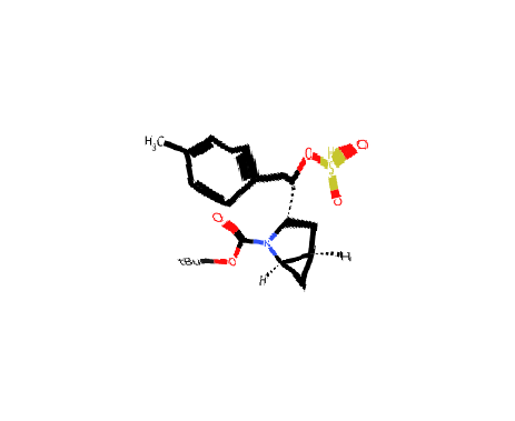 Cc1ccc(C(O[SH](=O)=O)[C@@H]2C[C@H]3C[C@H]3N2C(=O)OC(C)(C)C)cc1